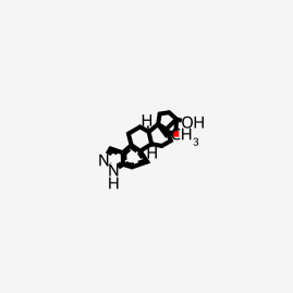 C[C@]12CC[C@@H]3c4ccc5[nH]ncc5c4CC[C@H]3C13CCC2(O)CC3